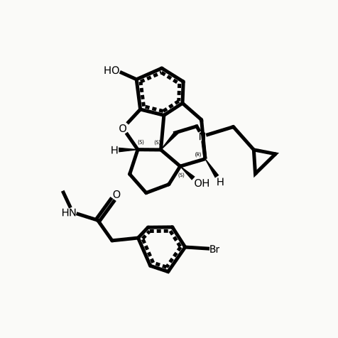 CNC(=O)Cc1ccc(Br)cc1.Oc1ccc2c3c1O[C@H]1CCC[C@@]4(O)[C@@H](C2)N(CC2CC2)CC[C@]314